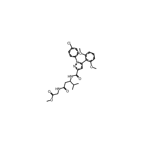 COC(=O)CNC(=O)CC(NC(=O)c1cc(-c2c(OC)cccc2OC)n(-c2ccc(Cl)cc2)n1)C(C)C